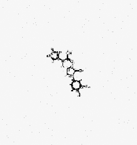 O=C1O[C@@H](CN(C(=O)O)c2cnsn2)CN1c1ccc(I)c(F)c1